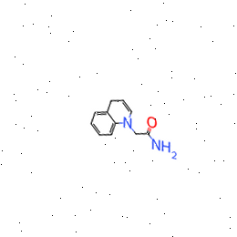 NC(=O)CN1C=CCc2ccccc21